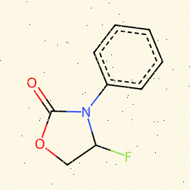 O=C1OCC(F)N1c1ccccc1